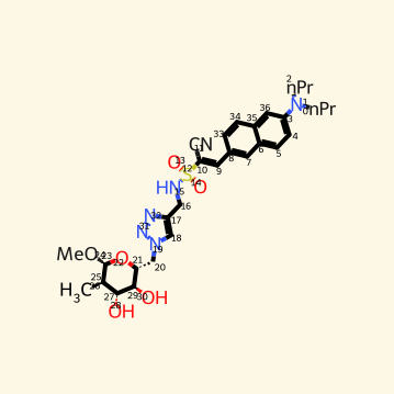 CCCN(CCC)c1ccc2cc(/C=C(\C#N)S(=O)(=O)NCc3cn(C[C@H]4O[C@H](OC)[C@H](C)[C@@H](O)[C@@H]4O)nn3)ccc2c1